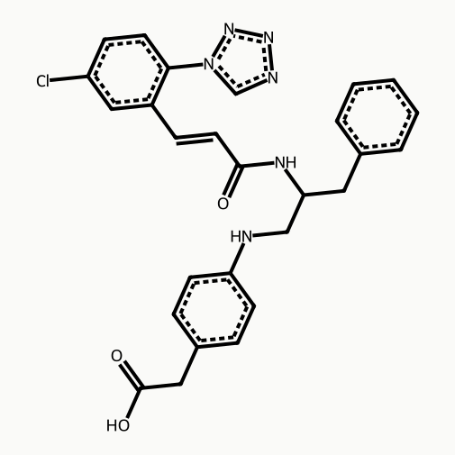 O=C(O)Cc1ccc(NCC(Cc2ccccc2)NC(=O)C=Cc2cc(Cl)ccc2-n2cnnn2)cc1